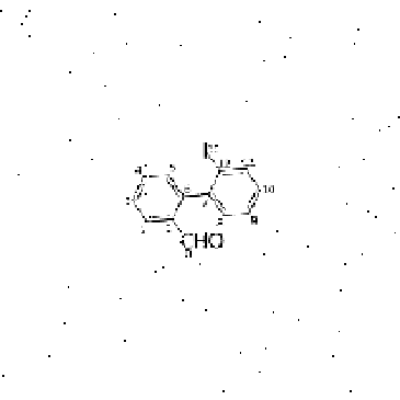 O=Cc1ccccc1-c1ccccc1I